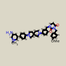 COc1ccc(CN2C(=O)CCN(Cc3cccc(N4CCC5(CCN(c6ccc([C@H]7C[C@@H](N)CN(C)C7)cc6)CC5)CC4)c3)C2=O)cc1